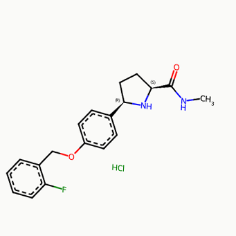 CNC(=O)[C@@H]1CC[C@H](c2ccc(OCc3ccccc3F)cc2)N1.Cl